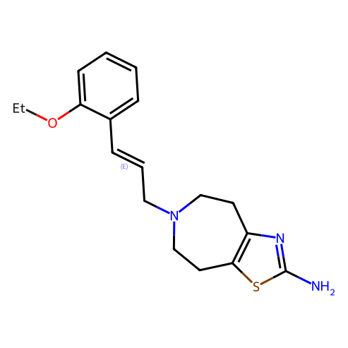 CCOc1ccccc1/C=C/CN1CCc2nc(N)sc2CC1